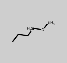 CCC[SiH2]O[SiH3]